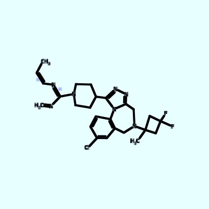 C=N/C(=N\C=C/C)N1CCC(c2nnc3n2-c2ccc(Cl)cc2CN(C2(C)CC(F)(F)C2)C3)CC1